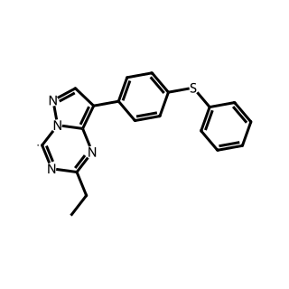 CCc1n[c]n2ncc(-c3ccc(Sc4ccccc4)cc3)c2n1